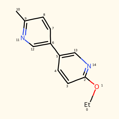 CCOc1ccc(-c2ccc(C)nc2)cn1